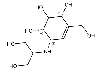 OCC1=C[C@H](NC(CO)CO)[C@H](O)C(O)[C@@H]1O